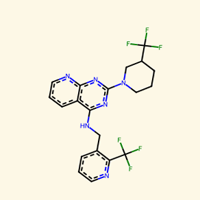 FC(F)(F)c1ncccc1CNc1nc(N2CCCC(C(F)(F)F)C2)nc2ncccc12